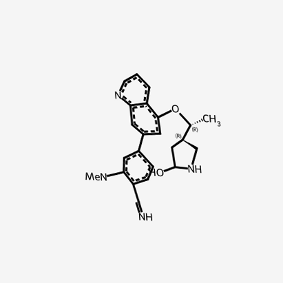 CNc1cc(-c2cc(O[C@H](C)[C@H]3CNC(O)C3)c3cccnc3c2)ccc1C=N